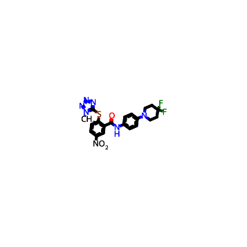 Cn1nnnc1Sc1ccc([N+](=O)[O-])cc1C(=O)Nc1ccc(N2CCC(F)(F)CC2)cc1